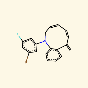 C=C1/C=C\C=C/CN(c2cc(F)cc(Br)c2)c2ccccc21